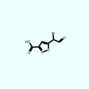 O=CC(Br)c1cc(C(=O)O)no1